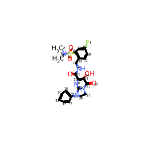 CN(C)S(=O)(=O)c1cc(F)ccc1CNC(=O)c1nc2n(c(=O)c1O)CCN2c1ccccc1